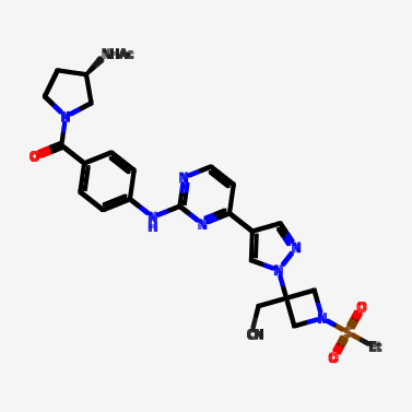 CCS(=O)(=O)N1CC(CC#N)(n2cc(-c3ccnc(Nc4ccc(C(=O)N5CC[C@@H](NC(C)=O)C5)cc4)n3)cn2)C1